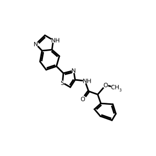 COC(C(=O)Nc1csc(-c2ccc3nc[nH]c3c2)n1)c1ccccc1